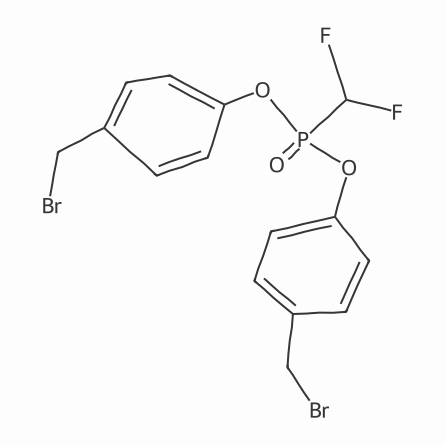 O=P(Oc1ccc(CBr)cc1)(Oc1ccc(CBr)cc1)C(F)F